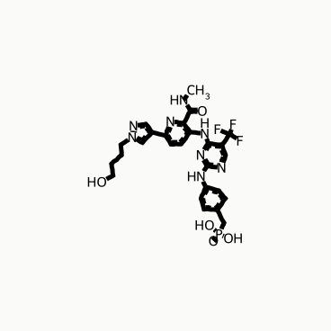 CNC(=O)c1nc(-c2cnn(CCCCO)c2)ccc1Nc1nc(Nc2ccc(CP(=O)(O)O)cc2)ncc1C(F)(F)F